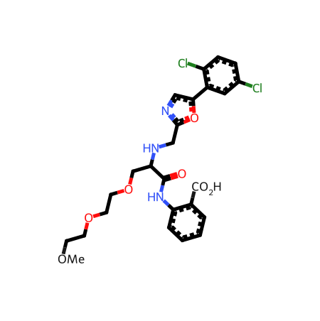 COCCOCCOCC(NCc1ncc(-c2cc(Cl)ccc2Cl)o1)C(=O)Nc1ccccc1C(=O)O